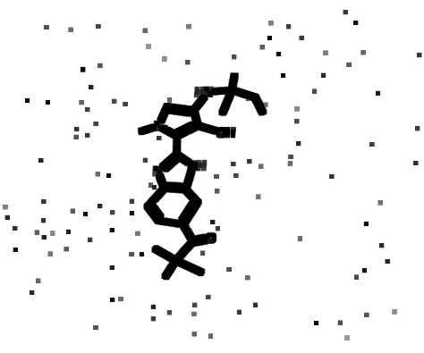 CCC(C)(C)Nc1cn(C)c(-c2nc3ccc(C(=O)C(C)(C)C)cc3[nH]2)c1O